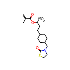 C=C(C)C(=O)OC(CCC1CCC(CN2CCSC2=O)CC1)[N+](=O)[O-]